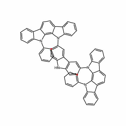 C1=CC(n2c3ccccc3c3ccc4c5ccccc5n(-c5ccc6[nH]c7ccc(-n8c9ccccc9c9ccc%10c%11ccccc%11n(-c%11ccccc%11)c%10c98)cc7c6c5)c4c32)=CCC1